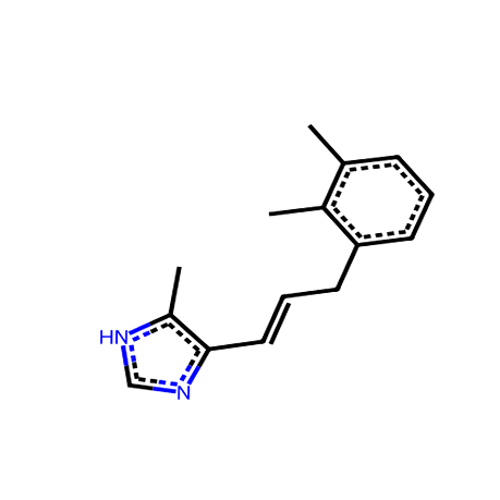 Cc1cccc(CC=Cc2nc[nH]c2C)c1C